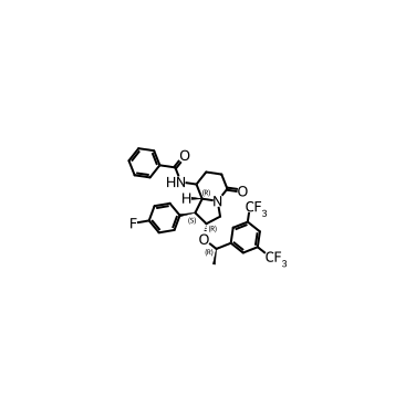 C[C@@H](O[C@H]1CN2C(=O)CCC(NC(=O)c3ccccc3)[C@H]2[C@@H]1c1ccc(F)cc1)c1cc(C(F)(F)F)cc(C(F)(F)F)c1